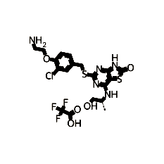 C[C@H](CO)Nc1nc(SCc2ccc(OCCN)c(Cl)c2)nc2[nH]c(=O)sc12.O=C(O)C(F)(F)F